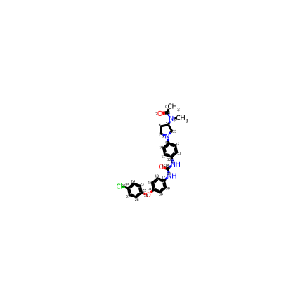 CC(=O)N(C)C1CCN(c2ccc(NC(=O)Nc3ccc(Oc4ccc(Cl)cc4)cc3)cc2)C1